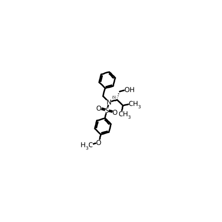 COc1ccc(S(=O)(=O)N(Cc2ccccc2)[C@H](CO)C(C)C)cc1